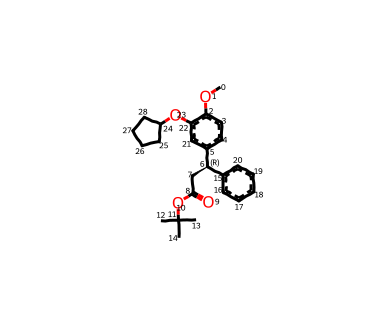 COc1ccc([C@H](CC(=O)OC(C)(C)C)c2ccccc2)cc1OC1CCCC1